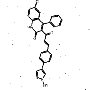 CCCn1cc(-c2ccc(/C=C/C(=O)c3c(-c4ccccc4)c4cc(Cl)ccc4[nH]c3=O)cc2)cn1